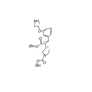 CC(C)(C)OC(=O)[C@@H](Cc1cccc(OCCN)c1)[C@@H]1CCN(C(=O)OC(C)(C)C)C1